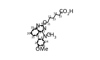 COc1ccc(N(C)c2nc(OCCCCCC(=O)O)nc3ccccc23)cc1